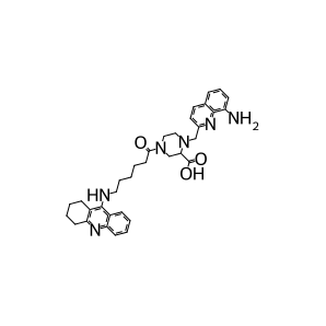 Nc1cccc2ccc(CN3CCN(C(=O)CCCCCNc4c5c(nc6ccccc46)CCCC5)CC3C(=O)O)nc12